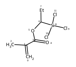 C=C(C)C(=O)OC(CC)[Si](Cl)(Cl)Cl